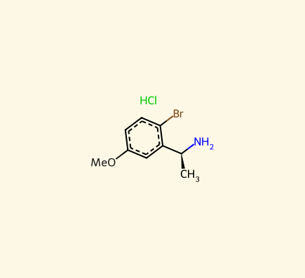 COc1ccc(Br)c([C@H](C)N)c1.Cl